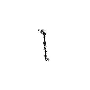 OCCOCCOCCOCCOCCOCCOCCOCCOC(F)(F)C(F)(F)C(F)(F)F